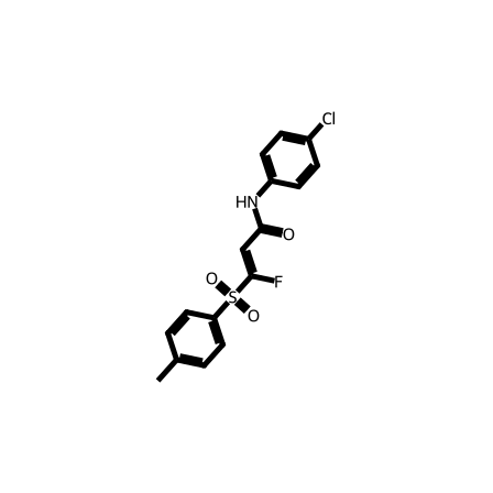 Cc1ccc(S(=O)(=O)C(F)=CC(=O)Nc2ccc(Cl)cc2)cc1